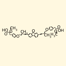 CCOC(Cc1ccc(OCC=C(C)C#Cc2ccc3c(c2)C(=O)c2cc(C#CC(C)=CCOc4ccc(CC(OCC)C(=O)O)cc4)ccc2-3)cc1)C(=O)O